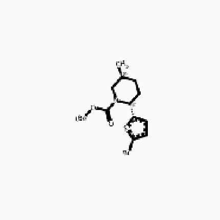 C[C@H]1CC[C@H](c2ccc(Br)s2)N(C(=O)OC(C)(C)C)C1